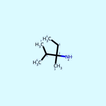 CCC(C)([NH])C(C)C